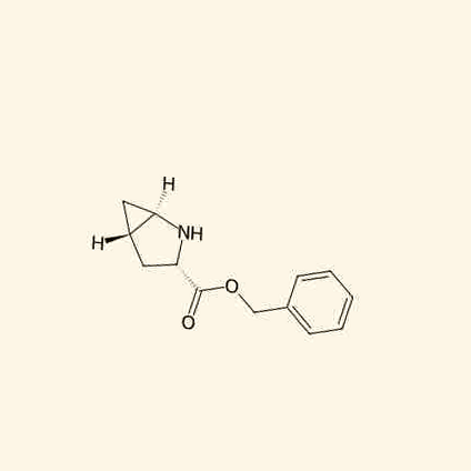 O=C(OCc1ccccc1)[C@@H]1C[C@@H]2C[C@H]2N1